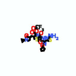 Nc1nc(/C(=N/OC2CCCC2)C(=O)N[C@@H]2C(=O)N3C(C(=O)OC(=O)C(F)(F)F)=C(C=C4CCN(C5CC5)C4=O)CS[C@H]23)cs1